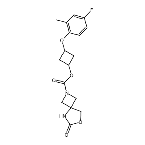 Cc1cc(F)ccc1OC1CC(OC(=O)N2CC3(COC(=O)N3)C2)C1